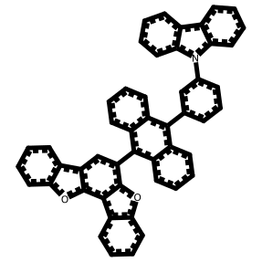 c1cc(-c2c3ccccc3c(-c3cc4c5ccccc5oc4c4c3oc3ccccc34)c3ccccc23)cc(-n2c3ccccc3c3ccccc32)c1